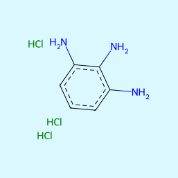 Cl.Cl.Cl.Nc1cccc(N)c1N